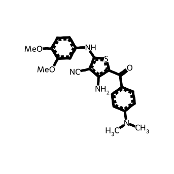 COc1ccc(Nc2sc(C(=O)c3ccc(N(C)C)cc3)c(N)c2C#N)cc1OC